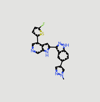 Cn1cc(-c2ccc3[nH]nc(-c4cc5c(-c6ccc(F)s6)cncc5[nH]4)c3c2)cn1